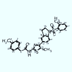 Cc1ccc(CC(=O)Nc2nc(-c3ccc4c(c3)CCN4S(=O)(=O)c3ccccc3C)c(C)s2)cc1